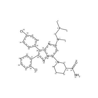 CN(CP(C)C)c1cc(N2CCCC(C(N)=O)C2)n2nc(-c3ccccc3Cl)c(-c3ccc(Cl)cc3)c2n1